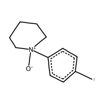 [CH]c1ccc([N+]2([O-])CCCCC2)cc1